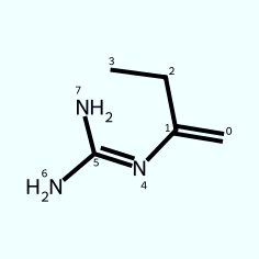 C=C(CC)N=C(N)N